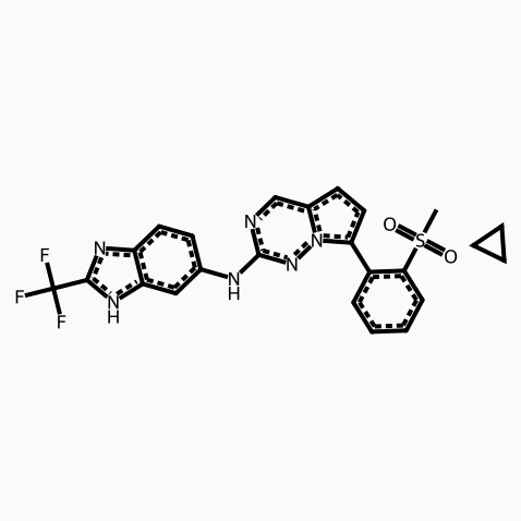 C1CC1.CS(=O)(=O)c1ccccc1-c1ccc2cnc(Nc3ccc4nc(C(F)(F)F)[nH]c4c3)nn12